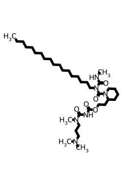 CCCCCCCCCCCCCCCCCCN(C(=O)NC)C(=O)N1CCCCC1CCOC(=O)NC(=O)N(C)CCCN(C)C